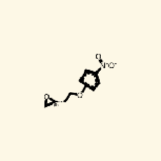 O=[N+]([O-])c1ccc(OCC[C@@H]2CO2)cc1